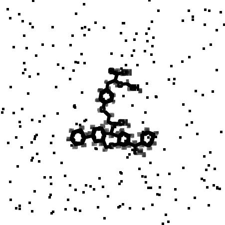 CCOC(Cc1ccc(OCCN(C)C2c3ccc(-c4ccccc4)cc3CCc3cc(C(C)c4ccccc4)ccc32)cc1)C(=O)O